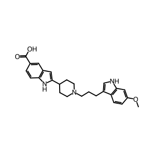 COc1ccc2c(CCCN3CCC(c4cc5cc(C(=O)O)ccc5[nH]4)CC3)c[nH]c2c1